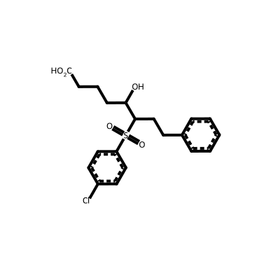 O=C(O)CCCC(O)C(CCc1ccccc1)S(=O)(=O)c1ccc(Cl)cc1